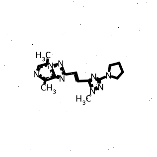 Cc1ncc(C)n2nc(C=Cc3nc(N4CCCC4)nn3C)nc12